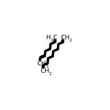 C=CCCC/C=C/C.C=CCCCCCCC=C